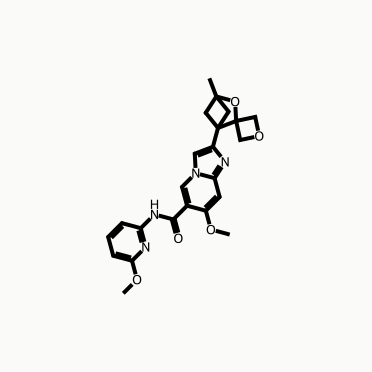 COc1cccc(NC(=O)c2cn3cc(C45CC(C)(C4)OC54COC4)nc3cc2OC)n1